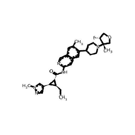 CC[C@@H]1[C@@H](C(=O)Nc2cc3cc(C4CCN([C@@]5(C)COC[C@H]5F)CC4)c(C)cc3cn2)[C@@H]1c1cnn(C)c1